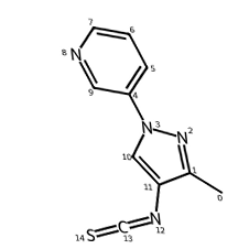 Cc1nn(-c2cccnc2)cc1N=C=S